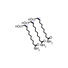 CCCCCCCC/C=C\CCCCCCCC(N)=O.CCCCCCCC/C=C\CCCCCCCC(N)=O.CCCCCCCC/C=C\CCCCCCCC(N)=O